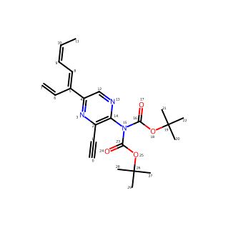 C#Cc1nc(/C(C=C)=C/C=C\C)cnc1N(C(=O)OC(C)(C)C)C(=O)OC(C)(C)C